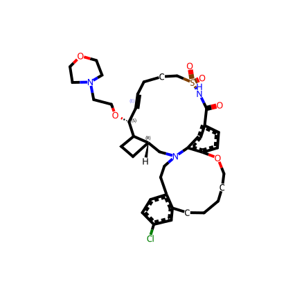 O=C1NS(=O)(=O)CCC/C=C/[C@@H](OCCN2CCOCC2)C2CC[C@H]2CN2CCc3ccc(Cl)cc3CCCCCOc3ccc1cc32